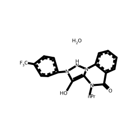 CCCN1C(=O)c2ccccc2N2NN(c3ccc(C(F)(F)F)cc3)C(O)=C12.O